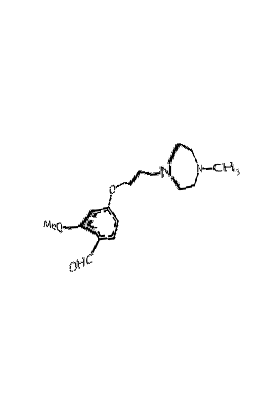 COc1cc(OCCN2CCN(C)CC2)ccc1C=O